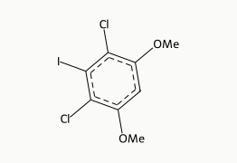 COc1cc(OC)c(Cl)c(I)c1Cl